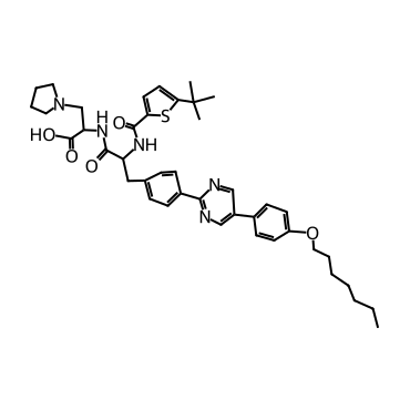 CCCCCCCOc1ccc(-c2cnc(-c3ccc(CC(NC(=O)c4ccc(C(C)(C)C)s4)C(=O)NC(CN4CCCC4)C(=O)O)cc3)nc2)cc1